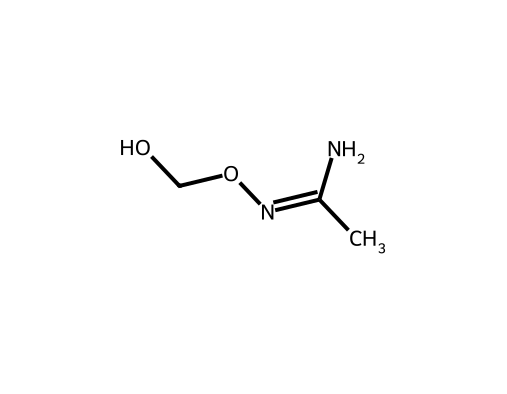 C/C(N)=N/OCO